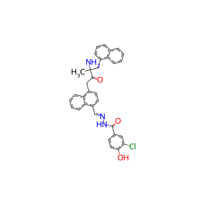 CC(N)(Cc1cccc2ccccc12)C(=O)Cc1ccc(/C=N/NC(=O)c2ccc(O)c(Cl)c2)c2ccccc12